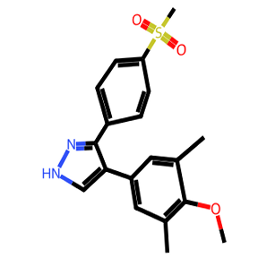 COc1c(C)cc(-c2c[nH]nc2-c2ccc(S(C)(=O)=O)cc2)cc1C